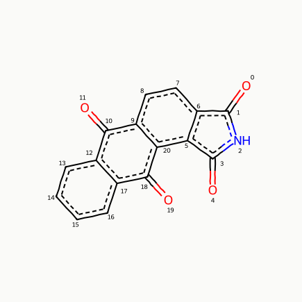 O=c1[nH]c(=O)c2c1ccc1c(=O)c3ccccc3c(=O)c12